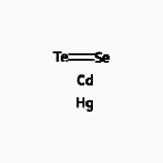 [Cd].[Hg].[Se]=[Te]